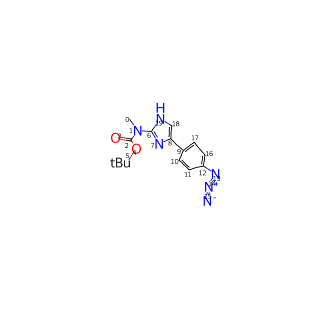 CN(C(=O)OC(C)(C)C)c1nc(-c2ccc(N=[N+]=[N-])cc2)c[nH]1